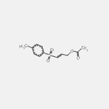 CC(=O)OCC=CS(=O)(=O)c1ccc(C)cc1